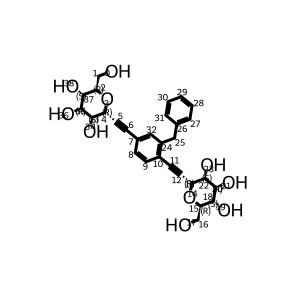 OC[C@H]1O[C@H](C#Cc2ccc(C#C[C@H]3O[C@H](CO)[C@@H](O)[C@H](O)[C@@H]3O)c(Cc3ccccc3)c2)[C@@H](O)[C@@H](O)[C@@H]1O